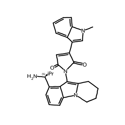 CC(C)[C@H](N)c1cccc2c1c(N1C(=O)C=C(c3cn(C)c4ccccc34)C1=O)c1n2CCCC1